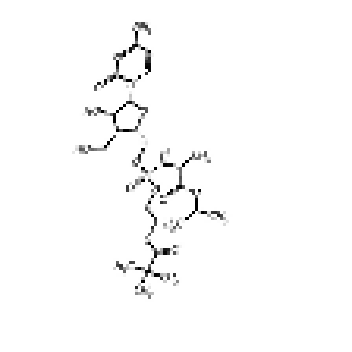 CC(C)OC(=O)[C@H](C)N[P@](=O)(OCCSC(=O)C(C)(C)C)OC[C@H]1O[C@@H](n2ccc(N)nc2=O)[C@H](O)[C@@H]1CO